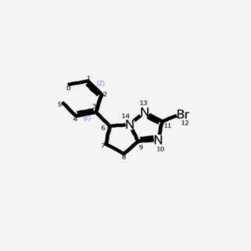 C/C=C\C(=C/C)C1CCc2nc(Br)nn21